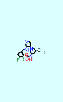 C[C@@H]1C[C@H](NC(=O)O)CN(c2ccncc2NCc2ccc(F)c(Cl)c2)C1